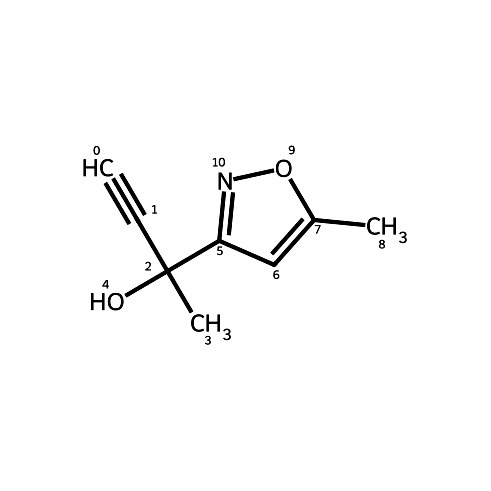 C#CC(C)(O)c1cc(C)on1